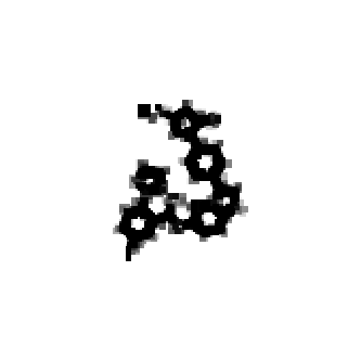 CC(Oc1ccc2ncc(-c3ccc(N4C[C@@H](N)CC4=O)cc3)n2n1)c1cc(F)ccc1-n1nccn1